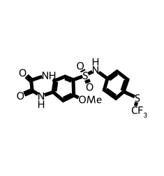 COc1cc2[nH]c(=O)c(=O)[nH]c2cc1S(=O)(=O)Nc1ccc(SC(F)(F)F)cc1